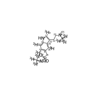 [2H]c1[nH]c2c([2H])c([2H])c(CS(=O)(=O)NC([2H])([2H])[2H])c([2H])c2c1CCN(C)C([2H])([2H])[2H]